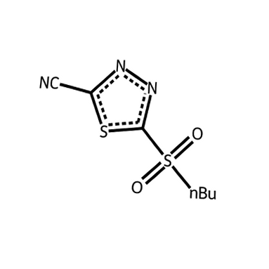 CCCCS(=O)(=O)c1nnc(C#N)s1